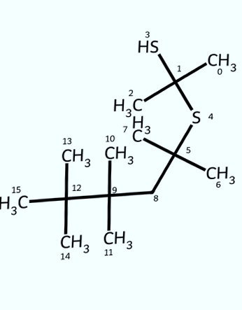 CC(C)(S)SC(C)(C)CC(C)(C)C(C)(C)C